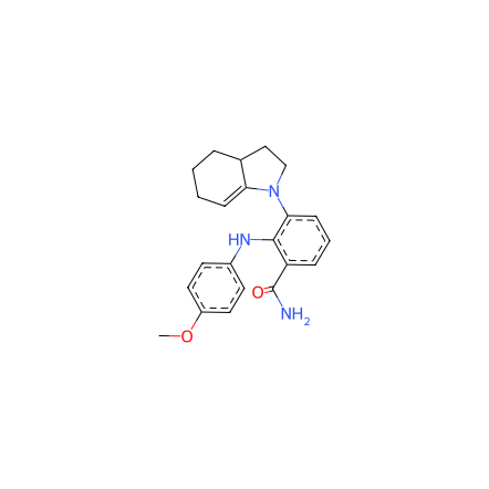 COc1ccc(Nc2c(C(N)=O)cccc2N2CCC3CCCC=C32)cc1